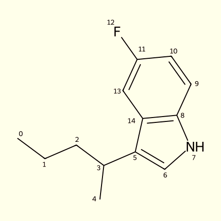 CCCC(C)c1c[nH]c2ccc(F)cc12